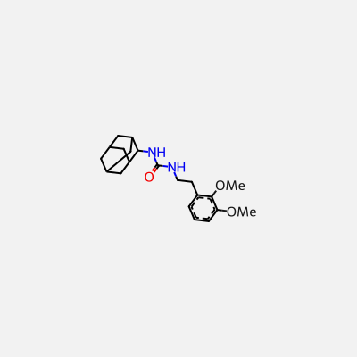 COc1cccc(CCNC(=O)NC2C3CC4CC(C3)CC2C4)c1OC